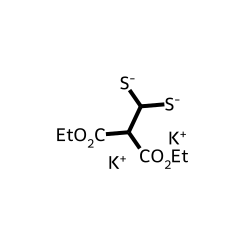 CCOC(=O)C(C(=O)OCC)C([S-])[S-].[K+].[K+]